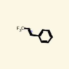 FC(F)(F)/[C]=C/c1ccccc1